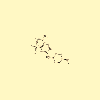 CO[C@H]1CC[C@H](Nc2ncc(C(N)=O)c(S(C)(=O)=O)n2)CC1